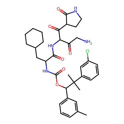 Cc1cccc(C(OC(=O)NC(CC2CCCCC2)C(=O)NC(C(=O)CN)C(=O)C2CCNC2=O)C(C)(C)c2cccc(Cl)c2)c1